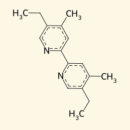 CCc1cnc(-c2cc(C)c(CC)cn2)cc1C